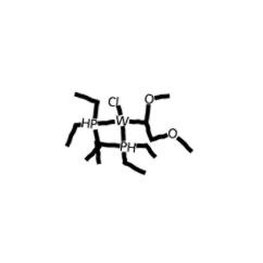 CC[PH](CC)(CC)[W]([Cl])([CH](COC)OC)[PH](CC)(CC)CC